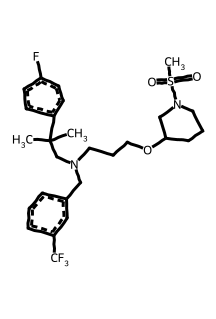 CC(C)(CN(CCCOC1CCCN(S(C)(=O)=O)C1)Cc1cccc(C(F)(F)F)c1)c1ccc(F)cc1